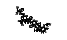 CC(C)Cc1c(F)cnc2[nH]c(Cn3c(Cl)ccc(NC(=O)C(CCC=CC(=O)N(C)C)OC(=O)N(C)C)c3=O)nc12